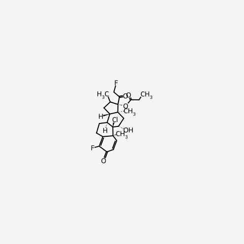 CCC(=O)O[C@@]1(C(=O)CF)C(C)C[C@H]2[C@@H]3CCC4=C(F)C(=O)C=C[C@]4(C)[C@@]3(Cl)[C@@H](O)C[C@@]21C